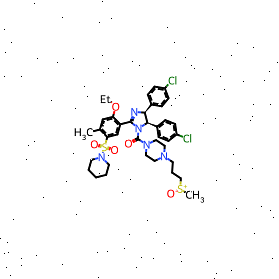 CCOc1cc(C)c(S(=O)(=O)N2CCCCC2)cc1C1=N[C@@H](c2ccc(Cl)cc2)[C@@H](c2ccc(Cl)cc2)N1C(=O)N1CCN(CCC[S+](C)[O-])CC1